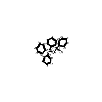 O=S(=O)(O[Si](c1ccccc1)(c1ccccc1)c1ccccc1)c1ccccc1